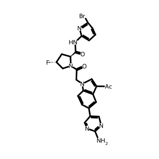 CC(=O)c1cn(CC(=O)N2C[C@H](F)C[C@H]2C(=O)Nc2cccc(Br)n2)c2ccc(-c3cnc(N)nc3)cc12